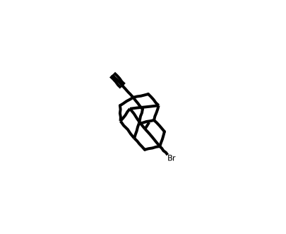 C#CC12CC3C4CC5(Br)CC3C(C1)C(C4C2)C5C